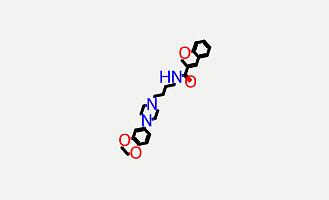 O=C(NCCCCN1CCN(c2ccc3c(c2)OCCO3)CC1)C1=Cc2ccccc2OC1